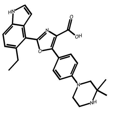 CCc1ccc2[nH]ccc2c1-c1nc(C(=O)O)c(-c2ccc(N3CCNC(C)(C)C3)cc2)o1